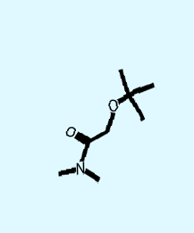 CN(C)C(=O)COC(C)(C)C